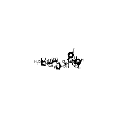 CC1(C)CCN(C(C)(C)C=C(C#N)C(=O)N2CCC[C@H](OC(=O)N[C@@H](Cc3ccc(F)cc3)B3O[C@@H]4C[C@@H]5C[C@@H](C5(C)C)[C@]4(C)O3)C2)C1